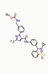 CN(C1CC1)C(c1cccc(NC(=O)c2cc(C(F)(F)F)nn2-c2cccc(CNC(=O)OC(C)(C)C)c2)c1)c1ccccc1S(C)(=O)=O